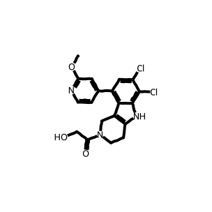 COc1cc(-c2cc(Cl)c(Cl)c3[nH]c4c(c23)CN(C(=O)CO)CC4)ccn1